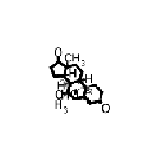 C[C@@H]1CC2=CC(=O)CC[C@]2(CO)[C@H]2CC[C@]3(C)C(=O)CC[C@H]3[C@H]12